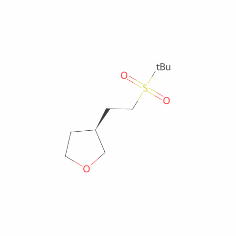 CC(C)(C)S(=O)(=O)CC[C@@H]1CCOC1